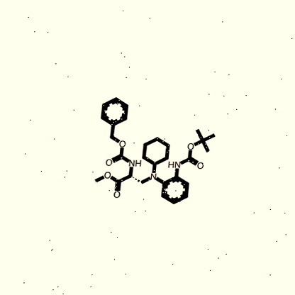 COC(=O)[C@@H](CN(c1ccccc1NC(=O)OC(C)(C)C)C1CCCCC1)NC(=O)OCc1ccccc1